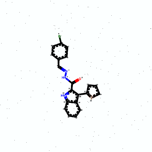 O=C(NN=Cc1ccc(Br)cc1)c1[nH]c2ccccc2c1-c1cccs1